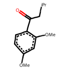 COc1ccc(C(=O)CC(C)C)c(OC)c1